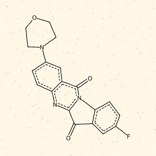 O=C1c2cc(F)ccc2-n2c1nc1ccc(N3CCOCC3)cc1c2=O